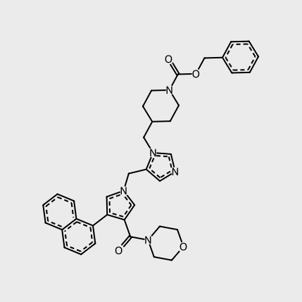 O=C(OCc1ccccc1)N1CCC(Cn2cncc2Cn2cc(C(=O)N3CCOCC3)c(-c3cccc4ccccc34)c2)CC1